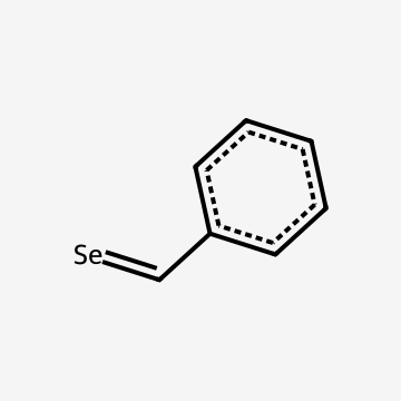 [Se]=Cc1ccccc1